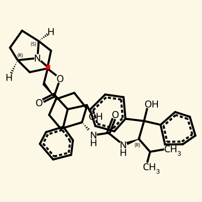 CC(C)[C@@H](NC(=O)N[C@H]1CC[C@H](CCN2[C@@H]3CC[C@H]2CC(OC(=O)C(CO)c2ccccc2)C3)CC1)C(O)(c1ccccc1)c1ccccc1